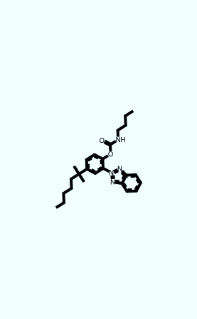 CCCCCC(C)(C)c1ccc(OC(=O)NCCCC)c(-n2nc3ccccc3n2)c1